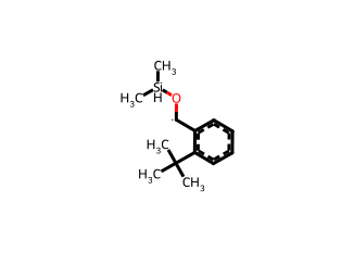 C[SiH](C)O[CH]c1ccccc1C(C)(C)C